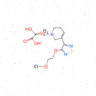 CCOCCOc1nsnc1C1=CCCN(C)C1.O=C(O)C(=O)O